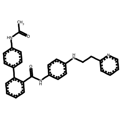 CC(=O)Nc1ccc(-c2ccccc2C(=O)Nc2ccc(NCCc3ccccn3)cc2)cc1